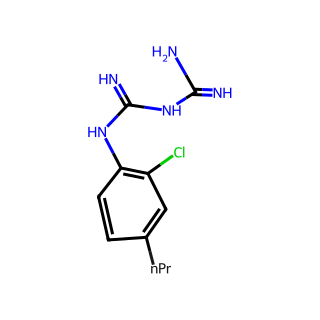 CCCc1ccc(NC(=N)NC(=N)N)c(Cl)c1